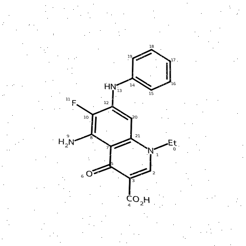 CCn1cc(C(=O)O)c(=O)c2c(N)c(F)c(Nc3ccccc3)cc21